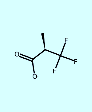 C[C@H](C([O])=O)C(F)(F)F